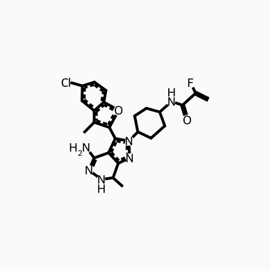 C=C(F)C(=O)NC1CCC(n2nc3c(c2-c2oc4ccc(Cl)cc4c2C)C(N)=NNC3C)CC1